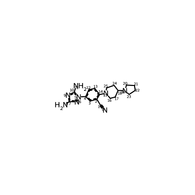 N#Cc1cc(-n2nc(N)nc2N)ccc1N1CCC(N2CCCC2)CC1